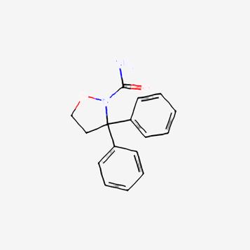 NC(=O)N1OCCC1(c1ccccc1)c1ccccc1